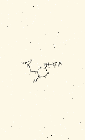 O=C(O)NC1CCC(=O)N(CC2CC2)C1